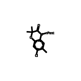 CCCCCN1C(=O)C(C)(C)Oc2cc(Cl)c(C)cc21